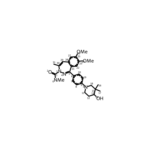 CNC(=O)N1N=C(c2ccc(N3CCC(O)C(C)(C)C3)cc2)c2cc(OC)c(OC)cc2C=C1C